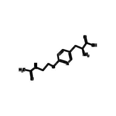 CC(=O)NCCOc1ccc(C[C@H](N)C(=O)O)cn1